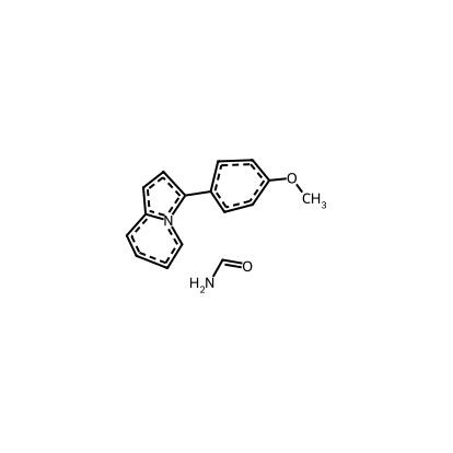 COc1ccc(-c2ccc3ccccn23)cc1.NC=O